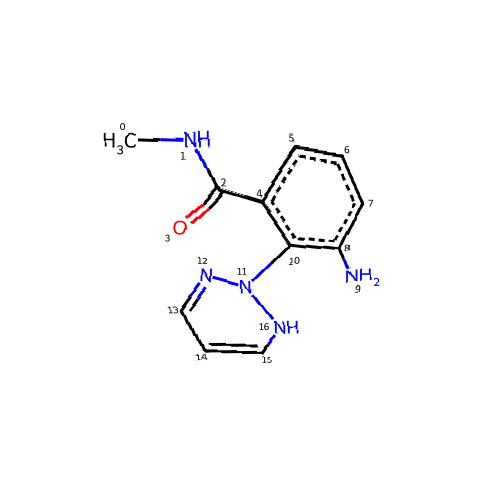 CNC(=O)c1cccc(N)c1N1N=CC=CN1